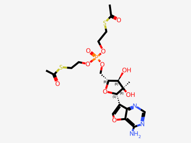 CC(=O)SCCOP(=O)(OCCSC(C)=O)OC[C@H]1O[C@@H](c2coc3c(N)ncnc23)[C@](C)(O)[C@@H]1O